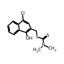 CN(C)C(=S)SCc1cc(Cl)c2ccccc2c1O